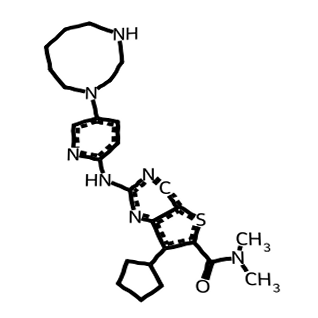 CN(C)C(=O)c1sc2cnc(Nc3ccc(N4CCCCCNCC4)cn3)nc2c1C1CCCC1